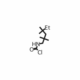 CCC(C)(C)CC(C)(C)CNC(=O)Cl